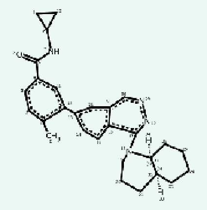 Cc1ccc(C(=O)NC2CC2)cc1-c1ccc2c(N3CCC[C@@H]4CCCC[C@@H]43)nncc2c1